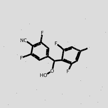 Cc1cc(F)c(C(OO)c2cc(F)c(C#N)c(F)c2)c(F)c1